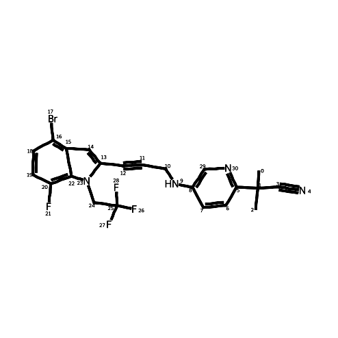 CC(C)(C#N)c1ccc(NCC#Cc2cc3c(Br)ccc(F)c3n2CC(F)(F)F)cn1